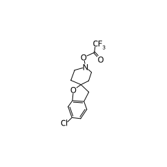 O=C(ON1CCC2(CC1)Cc1ccc(Cl)cc1O2)C(F)(F)F